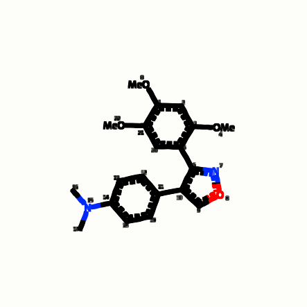 COc1cc(OC)c(-c2nocc2-c2ccc(N(C)C)cc2)cc1OC